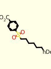 CCCCCCCCCCCCCCCCS(=O)(=O)c1ccc(C(=O)O)cc1